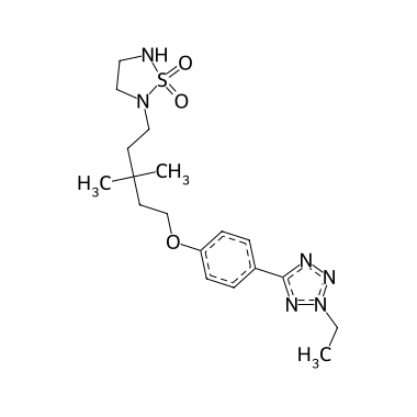 CCn1nnc(-c2ccc(OCCC(C)(C)CCN3CCNS3(=O)=O)cc2)n1